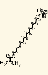 C=C(C)C(=O)OCCCCCCCCCCCCCCCCC[Si](Cl)(Cl)Cl